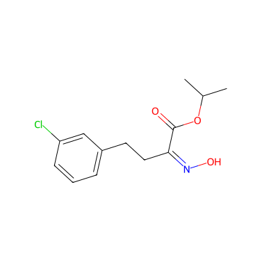 CC(C)OC(=O)/C(CCc1cccc(Cl)c1)=N\O